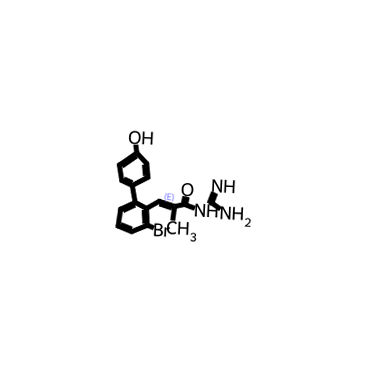 C/C(=C\c1c(Br)cccc1-c1ccc(O)cc1)C(=O)NC(=N)N